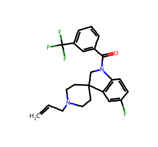 C=CCN1CCC2(CC1)CN(C(=O)c1cccc(C(F)(F)F)c1)c1ccc(F)cc12